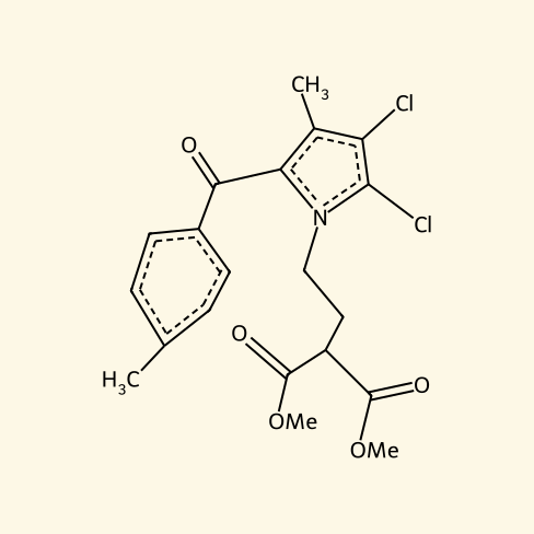 COC(=O)C(CCn1c(Cl)c(Cl)c(C)c1C(=O)c1ccc(C)cc1)C(=O)OC